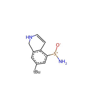 CC(C)(C)c1cc2c(c([S+](N)[O-])c1)C=CNC2